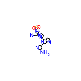 CS(=O)(=O)N1CC(CC#N)(n2ccc(-c3nc(-c4cncc(N)c4)cc4ncccc34)n2)C1